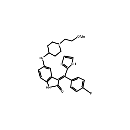 COCCN1CCC(Nc2ccc3c(c2)C(=C(c2ccc(F)cc2)c2ncc[nH]2)C(=O)N3)CC1